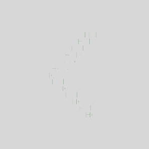 Cl.Cl.Cl.Cl.Cl.Cl.Cl.Cl.Cl.Cl.Cl.Cl.Cl